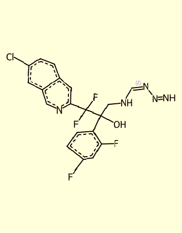 N=N/N=C\NCC(O)(c1ccc(F)cc1F)C(F)(F)c1cc2ccc(Cl)cc2cn1